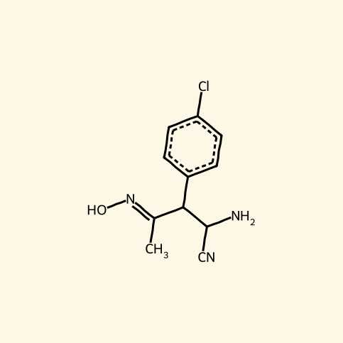 CC(=NO)C(c1ccc(Cl)cc1)C(N)C#N